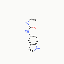 CCCCCNC(=O)Nc1ccc2[nH]ccc2c1